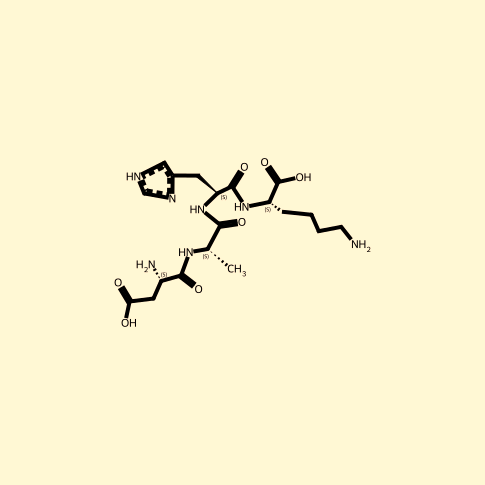 C[C@H](NC(=O)[C@@H](N)CC(=O)O)C(=O)N[C@@H](Cc1c[nH]cn1)C(=O)N[C@@H](CCCCN)C(=O)O